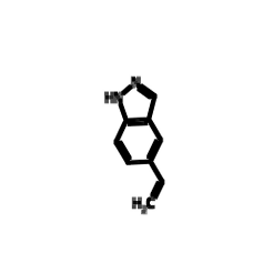 C=Cc1ccc2[nH]ncc2c1